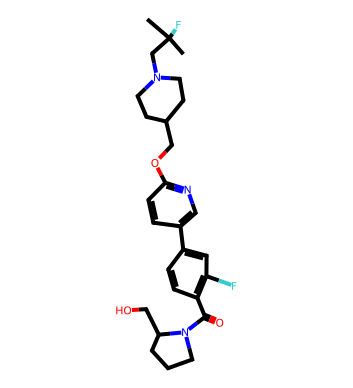 CC(C)(F)CN1CCC(COc2ccc(-c3ccc(C(=O)N4CCCC4CO)c(F)c3)cn2)CC1